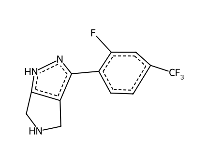 Fc1cc(C(F)(F)F)ccc1-c1n[nH]c2c1CNC2